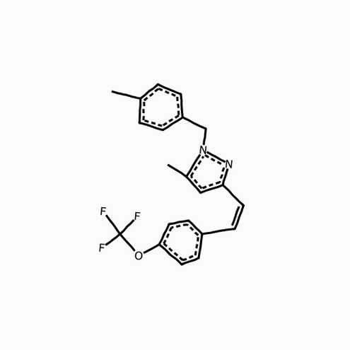 Cc1ccc(Cn2nc(/C=C\c3ccc(OC(F)(F)F)cc3)cc2C)cc1